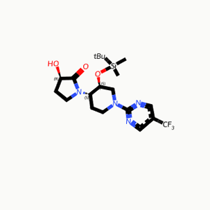 CC(C)(C)[Si](C)(C)O[C@H]1CN(c2ncc(C(F)(F)F)cn2)CC[C@@H]1N1CC[C@@H](O)C1=O